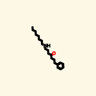 CCCCCCC[CH2][AlH][CH2]CCC(=O)CCCc1ccccc1